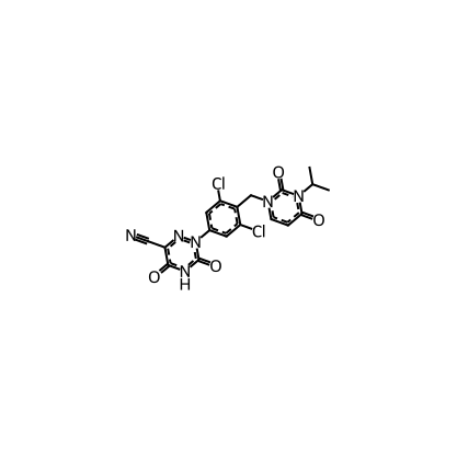 CC(C)n1c(=O)ccn(Cc2c(Cl)cc(-n3nc(C#N)c(=O)[nH]c3=O)cc2Cl)c1=O